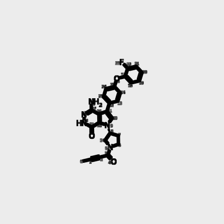 CC#CC(=O)N1CC[C@@H](n2cc(-c3ccc(Oc4ccccc4F)cc3)c3c(N)n[nH]c(=O)c32)C1